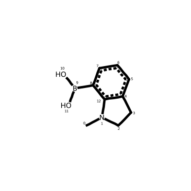 CN1CCc2cccc(B(O)O)c21